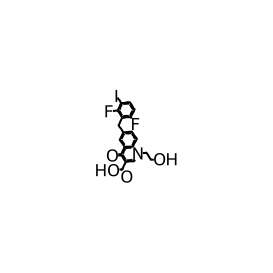 O=C(O)c1cn(CCO)c2ccc(Cc3c(F)ccc(I)c3F)cc2c1=O